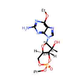 CCOc1nc(N)nc2c1ncn2[C@@H]1O[C@@H]2COP(=O)(OC(C)C)O[C@H]2[C@@]1(C)O